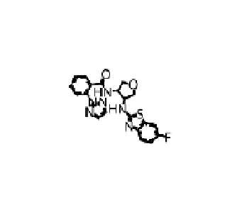 O=C(N[C@@H]1COC[C@H]1Nc1nc2ccc(F)cc2s1)c1ccccc1-n1nccn1